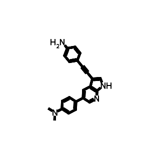 CN(C)c1ccc(-c2cnc3[nH]cc(C#Cc4ccc(N)cc4)c3c2)cc1